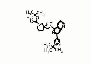 CC(C)(C)OC(=O)N1CCC[C@@](F)(CNc2nc(-c3cnn(C(C)(C)C)c3)cc3ncccc23)C1